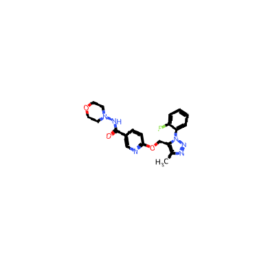 Cc1nnn(-c2ccccc2F)c1COc1ccc(C(=O)NN2CCOCC2)cn1